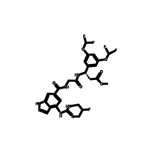 COC(=O)C[C@H](NC(=O)CNC(=O)c1cc(NC2=NCC(F)CN2)c2cn[nH]c2c1)c1cc(OC(F)F)cc(OC(F)F)c1